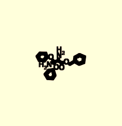 NC(C(=O)OCc1ccccc1)C(N)(Oc1ccccc1)Oc1ccccc1